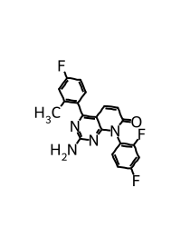 Cc1cc(F)ccc1-c1nc(N)nc2c1ccc(=O)n2-c1ccc(F)cc1F